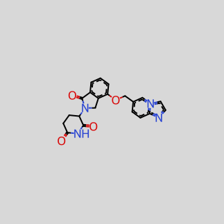 O=C1CCC(N2Cc3c(OCc4ccc5nccn5c4)cccc3C2=O)C(=O)N1